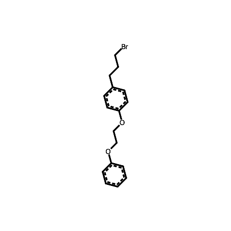 BrCCCc1ccc(OCCOc2ccccc2)cc1